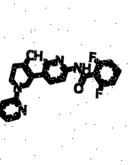 CC1=C(c2ccc(NC(=O)c3c(F)cccc3F)nc2)CN(c2ccccn2)CC1